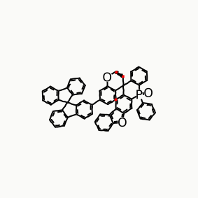 O=P1(c2ccccc2)c2ccccc2C2(c3ccccc3Oc3cc(-c4ccc5c(c4)C4(c6ccccc6-c6ccccc64)c4ccccc4-5)ccc32)c2cc3c(cc21)oc1ccccc13